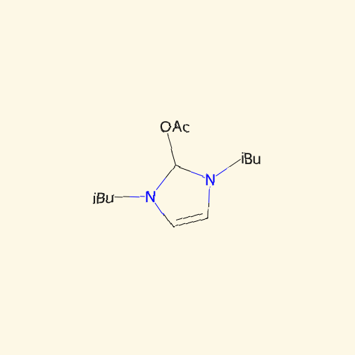 CCC(C)N1C=CN(C(C)CC)C1OC(C)=O